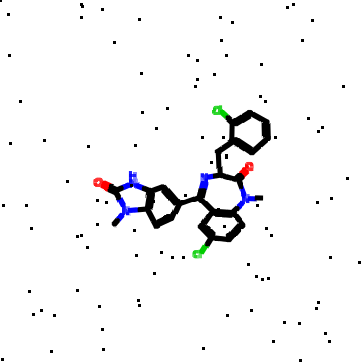 CN1C(=O)C(Cc2ccccc2Cl)N=C(c2ccc3c(c2)[nH]c(=O)n3C)c2cc(Cl)ccc21